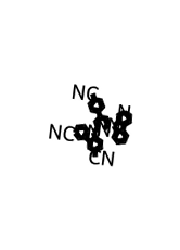 N#Cc1ccc(-c2cc(-n3c4ccc(C#N)cc4c4cc(C#N)ccc43)nc(-n3c4ccccc4c4ccncc43)c2)cc1